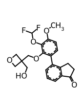 COc1ccc(-c2cccc3c2CCC3=O)c(OCC2(CO)COC2)c1OC(F)F